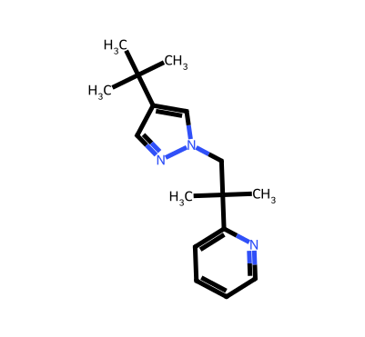 CC(C)(C)c1cnn(CC(C)(C)c2ccccn2)c1